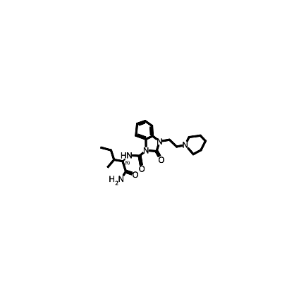 CCC(C)[C@H](NC(=O)n1c(=O)n(CCN2CCCCC2)c2ccccc21)C(N)=O